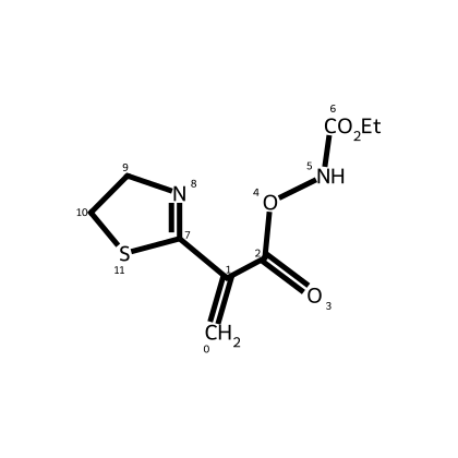 C=C(C(=O)ONC(=O)OCC)C1=NCCS1